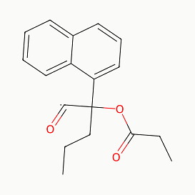 CCCC([C]=O)(OC(=O)CC)c1cccc2ccccc12